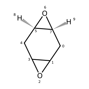 C1C2OC2C[C@H]2O[C@@H]12